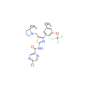 Cc1cc(OC(F)(F)F)cc(-c2nc(NC(=O)c3cnc(Cl)cn3)sc2CN2CCC[C@H]2C)c1